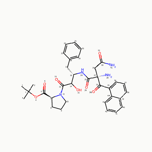 CC(C)(C)OC(=O)[C@@H]1CCCN1C(=O)C(O)[C@H](Cc1ccccc1)NC(=O)[C@@](N)(CC(N)=O)C(=O)c1cccc2ccccc12